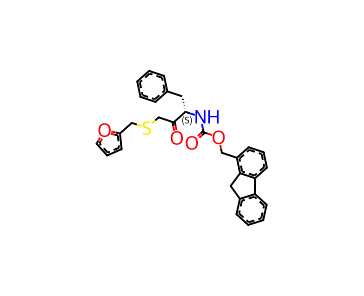 O=C(N[C@@H](Cc1ccccc1)C(=O)CSCc1ccco1)OCc1cccc2c1Cc1ccccc1-2